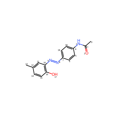 CC(=O)Nc1ccc(/N=N/c2cc(C)ccc2O)cc1